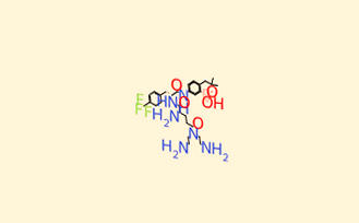 CC1(C)Cc2ccc(NC(=O)[C@@H](CC3=CC=C(C(F)(F)F)CC3)NC(=O)[C@@H](N)CCC(=O)N(CCN)CCN)cc2B(O)O1